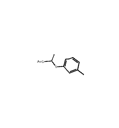 CC(=O)OC(C)Oc1cccc(C)c1